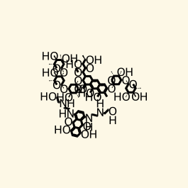 CO[C@H](C(=O)[C@@H](O)[C@@H](C)O)C1Cc2cc3cc(O[C@H]4C[C@@H](O[C@H]5C[C@@H](O)[C@H](O)[C@@H](C)O5)[C@@H](O)[C@@H](C)O4)c(C)c(O)c3c(O)c2C(=O)[C@H]1O[C@H]1C[C@@H](O[C@H]2C[C@@H](O[C@H]3C[C@](C)(O)[C@H](O)[C@@H](C)O3)[C@H](O)[C@@H](C)O2)[C@H](O)[C@@H](C)O1.O=C1c2c(O)ccc(O)c2C(=O)c2c(NCCNCCO)ccc(NCCNCCO)c21